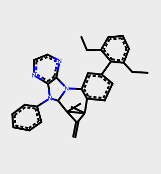 C=C1C2(C)c3ccc(-c4c(CC)cccc4CC)cc3N3c4nccnc4N(c4ccccc4)C3C12C